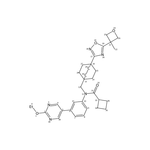 CCOc1ncc(-c2cccc(N(CC34CCC(c5noc(C6(C)COC6)n5)(CC3)CC4)C(=O)C3CCC3)c2)cn1